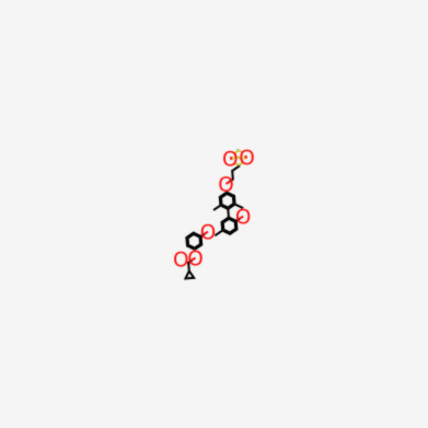 Cc1cc(OCCCS(C)(=O)=O)cc2c1-c1cc(COc3cccc(OC(=O)C4CC4)c3)ccc1OC2